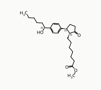 CCCCC[C@H](O)c1ccc([C@H]2CCC(=O)[C@H]2CCCCCCC(=O)OC)cc1